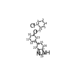 Clc1ccccc1COc1cccc(-c2ccc3[nH]cnc3c2)c1